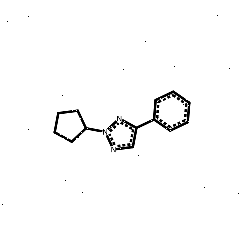 c1ccc(-c2cnn(C3CCCC3)n2)cc1